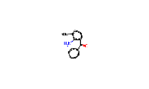 CCCCc1cccc(C(=O)c2ccccc2)c1N